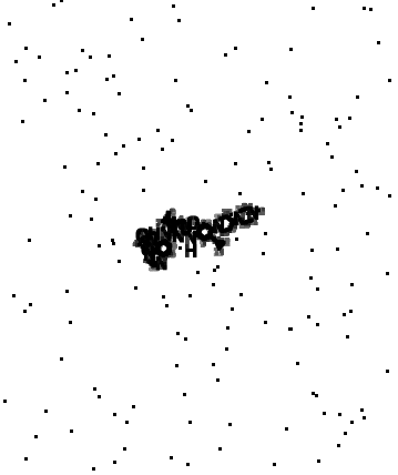 C=C(C)c1cnc(Nc2cc(C3CC3)c(N3CCC(N4CCN(C)CC4)CC3)cc2OC)nc1Nc1ccc2nccnc2c1N(C)S(C)(=O)=O